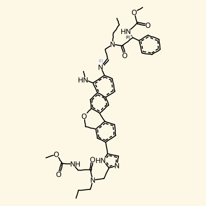 CCCN(Cc1ncc(-c2ccc3c(c2)COc2cc4c(NC)c(/N=C/CN(CCC)C(=O)[C@H](NC(=O)OC)c5ccccc5)ccc4cc2-3)[nH]1)C(=O)CNC(=O)OC